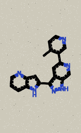 Cc1ccncc1-c1cc2c(-c3cc4ncccc4[nH]3)n[nH]c2cn1